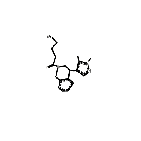 Cc1c(C2CN(C(=O)CCCC(C)C)Cc3ccccc32)cnn1C